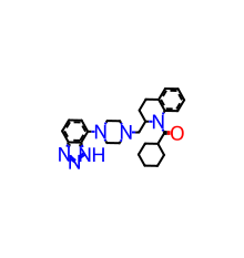 O=C(C1CCCCC1)N1c2ccccc2CCC1CN1CCN(c2cccc3nn[nH]c23)CC1